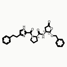 O=C1C[C@H](NC(=O)[C@H]2CCCN2C(=O)c2nc(CCc3ccccc3)c[nH]2)[C@@H](OCc2ccccc2)O1